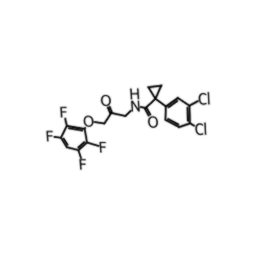 O=C(CNC(=O)C1(c2ccc(Cl)c(Cl)c2)CC1)COc1c(F)c(F)cc(F)c1F